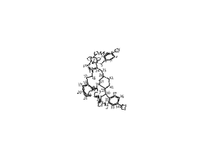 COC(=O)OC1(Cc2ccc(Cl)cc2)N=CN(CCc2ccccc2)C1CC1CCC(C(c2ccc(Cl)cc2)N(C)C)CC1